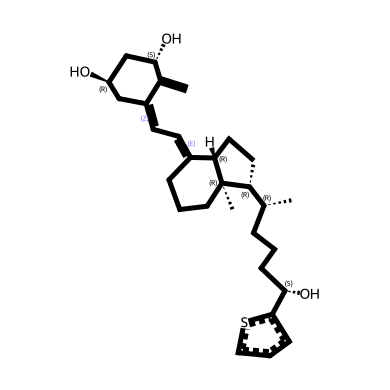 C=C1/C(=C\C=C2/CCC[C@]3(C)[C@@H]([C@H](C)CCC[C@H](O)c4cccs4)CC[C@@H]23)C[C@@H](O)C[C@@H]1O